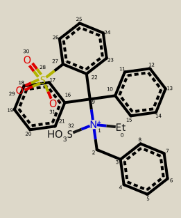 CC[N+](Cc1ccccc1)(C(c1ccccc1)(c1ccccc1)c1ccccc1S(=O)(=O)[O-])S(=O)(=O)O